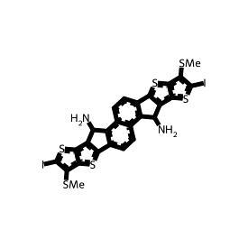 CSc1c(I)sc2c3c(sc12)-c1ccc2c4c(ccc2c1C3N)-c1sc2c(SC)c(I)sc2c1C4N